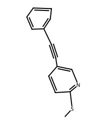 CSc1ccc(C#Cc2ccccc2)cn1